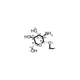 CCO[C@@H]1O[C@H](CO)[C@@H](O)[C@H](O)[C@H]1N